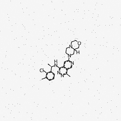 Cc1cccc([C@@H](C)Nc2nnc(C)c3cnc(N4CCN5CCOC[C@@H]5C4)cc23)c1Cl